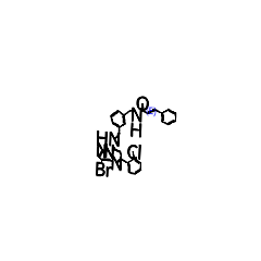 O=C(/C=C/c1ccccc1)NCc1cccc(CNc2cc(-c3ccccc3Cl)nc3c(Br)cnn23)c1